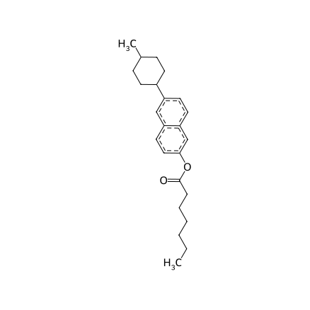 CCCCCCC(=O)Oc1ccc2cc(C3CCC(C)CC3)ccc2c1